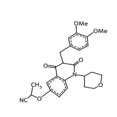 COc1ccc(CC2C(=O)c3cc(OC(C)C#N)ccc3N(C3CCOCC3)C2=O)cc1OC